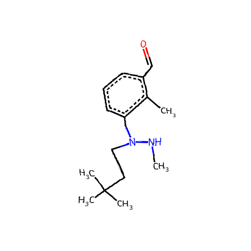 CNN(CCC(C)(C)C)c1cccc(C=O)c1C